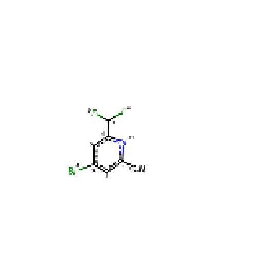 N#Cc1cc(Br)cc(C(F)F)n1